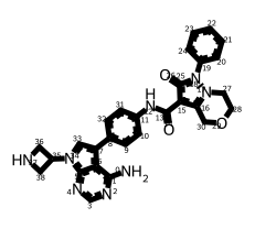 Nc1ncnc2c1c(-c1ccc(NC(=O)c3c4n(n(-c5ccccc5)c3=O)CCOC4)cc1)cn2C1CNC1